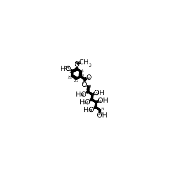 COc1cc(C(=O)OCC(O)C(O)C(O)C(O)C(O)CO)ccc1O